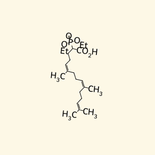 CCOP(=O)(OCC)C(CCC=C(C)CCC=C(C)CCC=C(C)C)C(=O)O